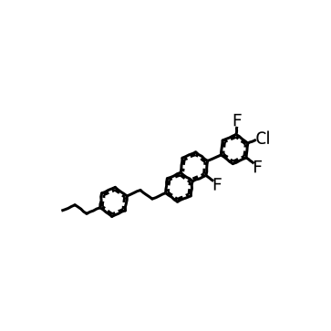 CCCc1ccc(CCc2ccc3c(F)c(-c4cc(F)c(Cl)c(F)c4)ccc3c2)cc1